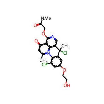 CNC(=O)COc1ncc2c3c1c(=O)cc(C)n3-c1c(Cl)cc(OCCO)cc1C2(C)Cl